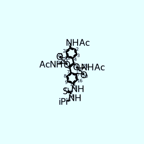 CC(=O)Nc1ccc(C=Cc2ccc(NC(=S)NC(C)C)cc2S(=O)(=O)NC(C)=O)c(S(=O)(=O)NC(C)=O)c1